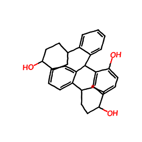 Oc1ccccc1C(c1ccccc1C1CCC(O)CC1)c1ccccc1C1CCC(O)CC1